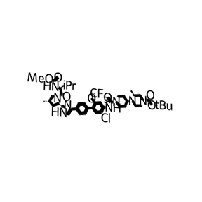 COC(=O)N[C@H](C(=O)N1C[C@@H](C)C[C@H]1c1nc(-c2ccc(-c3cc(Cl)c(NC(=O)N4CCC(N5CCN(C(=O)OC(C)(C)C)C[C@@H]5C)CC4)cc3OC(F)(F)F)cc2)c[nH]1)C(C)C